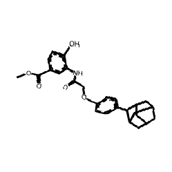 COC(=O)c1ccc(O)c(NC(=O)COc2ccc(C3C4CC5CC(C4)CC3C5)cc2)c1